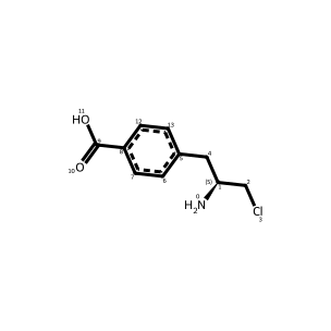 N[C@H](CCl)Cc1ccc(C(=O)O)cc1